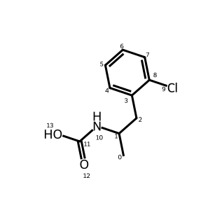 CC(Cc1ccccc1Cl)NC(=O)O